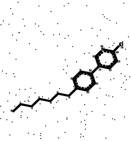 CCCCCCCc1ccc(-c2ccc(Cl)nc2)cc1